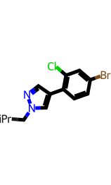 CC(C)Cn1cc(-c2ccc(Br)cc2Cl)cn1